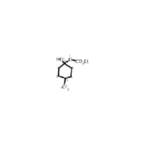 CCOC(=O)OC1(O)CCC(C(F)(F)F)CC1